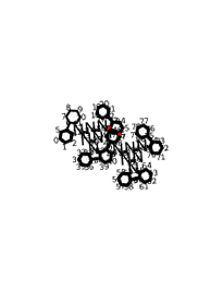 c1ccc2c(c1)C1CCCCC1N2c1nc(-n2c3ccccc3c3ccccc32)nc(-n2c3ccccc3c3ccc4c(c5ccccc5n4-c4nc(-n5c6ccccc6c6ccccc65)nc(-n5c6ccccc6c6ccccc65)n4)c32)n1